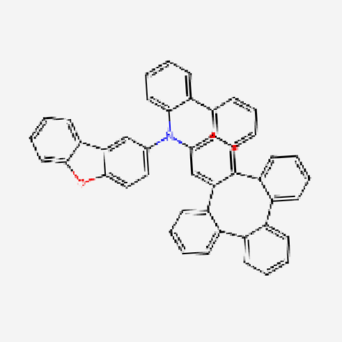 c1ccc(-c2ccccc2N(c2ccc3c(c2)-c2ccccc2-c2ccccc2-c2ccccc2-3)c2ccc3oc4ccccc4c3c2)cc1